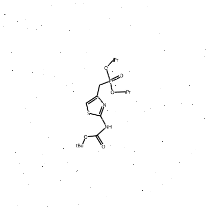 CC(C)OP(=O)(Cc1csc(NC(=O)OC(C)(C)C)n1)OC(C)C